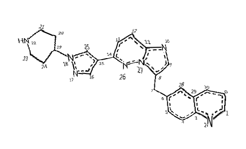 c1cnc2ccc(Cc3cnc4ccc(-c5cnn(C6CCNCC6)c5)nn34)cc2c1